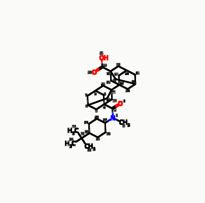 CN(C(=O)C12CC3CC(C1)CC(C14CC5CC(CC(C(=O)O)(C5)C1)C4)(C3)C2)C1CCC(C(C)(C)C)CC1